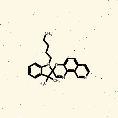 CCCCCN1c2ccccc2C(C)(C)C12C=Nc1c(ccc3ccncc13)O2